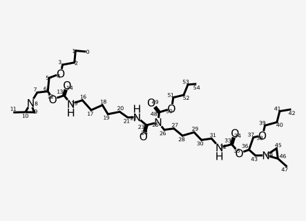 CCCCOCC(CN1CC1C)OC(=O)NCCCCCCNC(=O)N(CCCCCCNC(=O)OC(COCCCC)CN1CC1C)C(=O)OCCCC